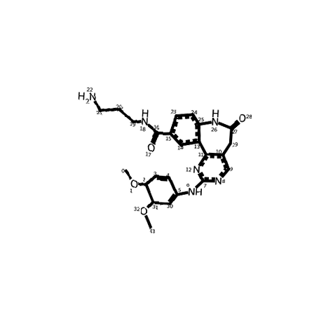 COC1C=CC(Nc2ncc3c(n2)-c2cc(C(=O)NCCCN)ccc2NC(=O)C3)=CC1OC